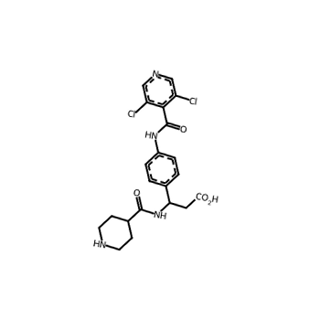 O=C(O)CC(NC(=O)C1CCNCC1)c1ccc(NC(=O)c2c(Cl)cncc2Cl)cc1